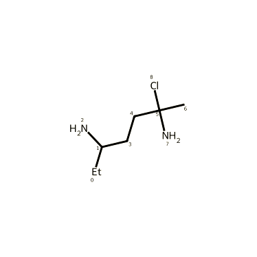 CCC(N)CCC(C)(N)Cl